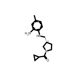 Cc1ccc(NC[C@@H]2CCN(C(=O)C3CC3)C2)c(N)c1